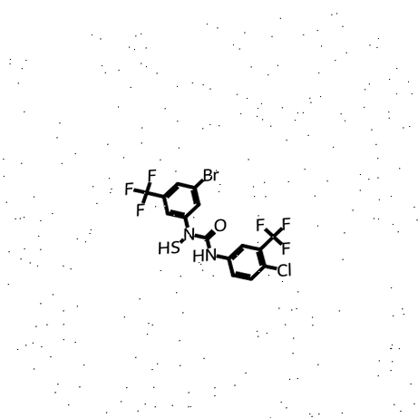 O=C(Nc1ccc(Cl)c(C(F)(F)F)c1)N(S)c1cc(Br)cc(C(F)(F)F)c1